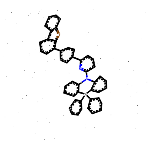 c1ccc([Si]2(c3ccccc3)c3ccccc3N(c3cccc(-c4ccc(-c5cccc6c5sc5ccccc56)cc4)n3)c3ccccc32)cc1